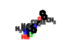 CCOC(=O)c1c(C)c2c(-c3c(CO)nn(C)c3C)c(Cl)ccc2n1CCCOc1cc(C)cc2ccccc12